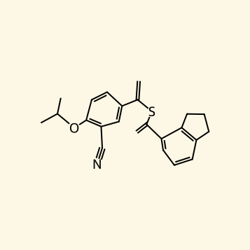 C=C(SC(=C)c1cccc2c1CCC2)c1ccc(OC(C)C)c(C#N)c1